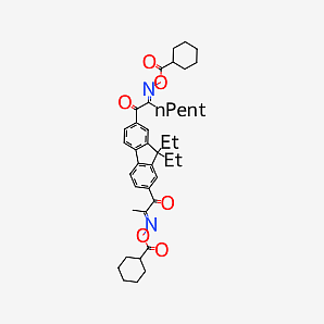 CCCCC/C(=N\OC(=O)C1CCCCC1)C(=O)c1ccc2c(c1)C(CC)(CC)c1cc(C(=O)/C(C)=N/OC(=O)C3CCCCC3)ccc1-2